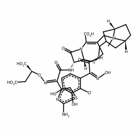 C[N+]1(CC2=C(C(=O)O)N3C(=O)[C@@H](NC(=O)/C(=N\O[C@@H](CC(=O)O)C(=O)O)c4csc(N)n4)[C@H]3SC2)[C@@H]2CC[C@H]1CC(CNC(=O)/C(=N\O)c1ccc(O)c(O)c1Cl)C2